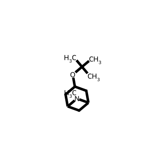 CN1C2CC(OC(C)(C)C)CC1C2